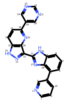 c1cncc(-c2cccc3[nH]c(-c4n[nH]c5ccc(-c6cncnc6)nc45)nc23)c1